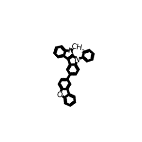 Cn1c2ccccc2c2c3cc(-c4ccc5oc6ccccc6c5c4)ccc3n(-c3ccccc3)c21